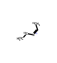 [13CH3]/C=N\[13CH2][13CH3]